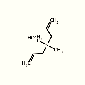 C=CC[N+](C)(C)CC=C.[OH-]